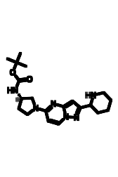 CC(C)(C)OC(=O)N[C@H]1CCN(c2ccn3nc(C4CCCCN4)cc3n2)C1